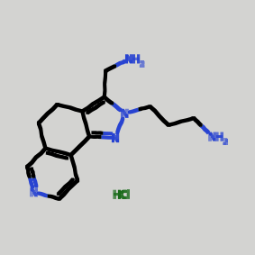 Cl.NCCCn1nc2c(c1CN)CCc1cnccc1-2